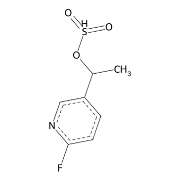 CC(O[SH](=O)=O)c1ccc(F)nc1